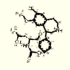 COc1cc2c(cc1Cl)CCNC[C@@]2(OC(=O)[C@@H](CC(C)C)NC(C)=O)c1ccccc1